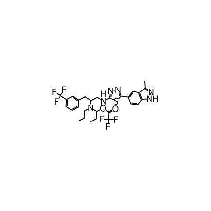 CCCN(C(CNc1nnc(-c2ccc3[nH]nc(C)c3c2)s1)Cc1cccc(C(F)(F)F)c1)C(CC)OC(=O)C(F)(F)F